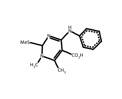 CSC1N=C(Nc2ccccc2)C(C(=O)O)=C(C)N1C